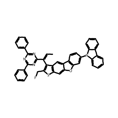 C/C=C(/c1nc(-c2ccccc2)nc(-c2ccccc2)n1)c1c(CF)sc2cc3oc4cc(-n5c6ccccc6c6ccccc65)ccc4c3cc12